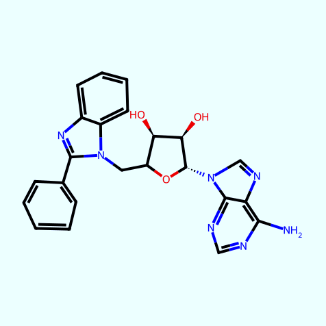 Nc1ncnc2c1ncn2[C@@H]1OC(Cn2c(-c3ccccc3)nc3ccccc32)[C@@H](O)[C@H]1O